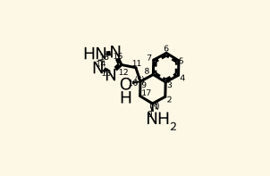 N[C@@H]1Cc2ccccc2[C@@](O)(Cc2nn[nH]n2)C1